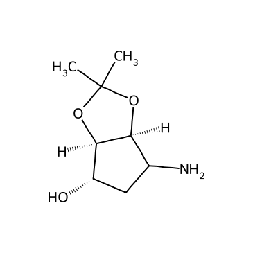 CC1(C)O[C@@H]2[C@@H](O)CC(N)[C@@H]2O1